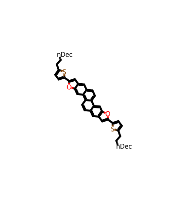 CCCCCCCCCCCCc1ccc(-c2cc3cc4ccc5c6cc7oc(-c8ccc(CCCCCCCCCCCC)s8)cc7cc6ccc5c4cc3o2)s1